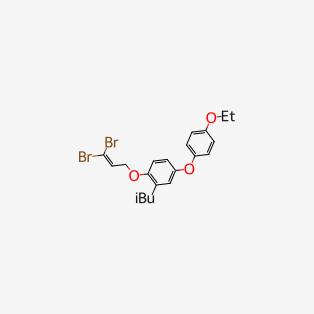 CCOc1ccc(Oc2ccc(OCC=C(Br)Br)c(C(C)CC)c2)cc1